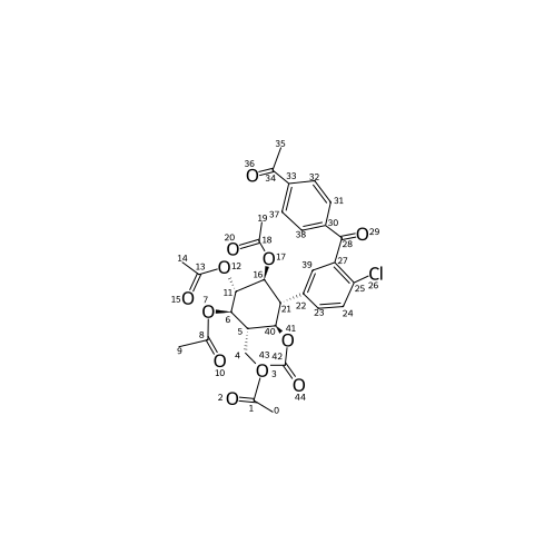 CC(=O)OC[C@@H]1[C@@H](OC(C)=O)[C@H](OC(C)=O)[C@@H](OC(C)=O)[C@H](c2ccc(Cl)c(C(=O)c3ccc(C(C)=O)cc3)c2)[C@H]1OC(C)=O